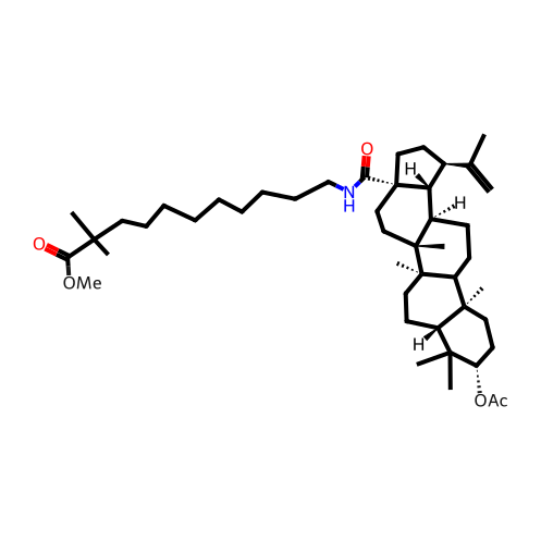 C=C(C)[C@@H]1CC[C@]2(C(=O)NCCCCCCCCCC(C)(C)C(=O)OC)CC[C@]3(C)[C@H](CCC4[C@@]5(C)CC[C@H](OC(C)=O)C(C)(C)[C@@H]5CC[C@]43C)[C@@H]12